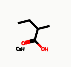 CCC(C)C(=O)O.[CsH]